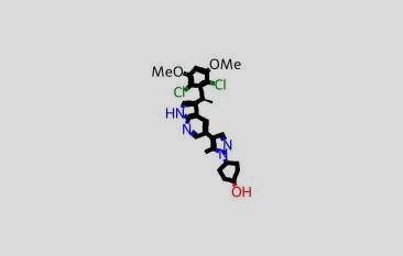 COc1cc(OC)c(Cl)c([C@@H](C)c2c[nH]c3ncc(-c4cnn(C5CCC(O)CC5)c4C)cc23)c1Cl